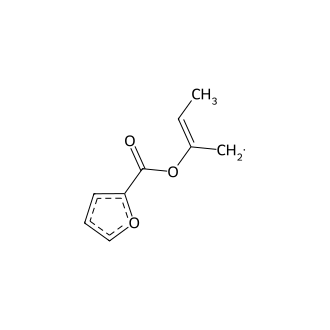 [CH2]C(=CC)OC(=O)c1ccco1